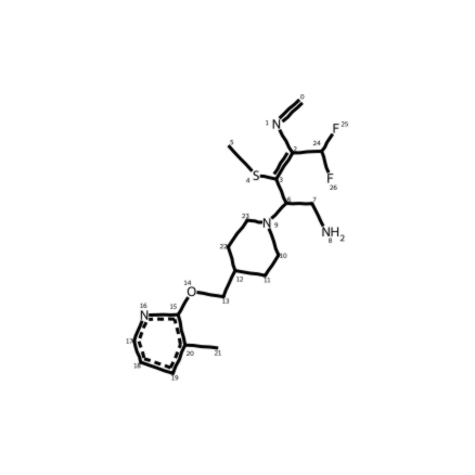 C=N/C(=C(\SC)C(CN)N1CCC(COc2ncccc2C)CC1)C(F)F